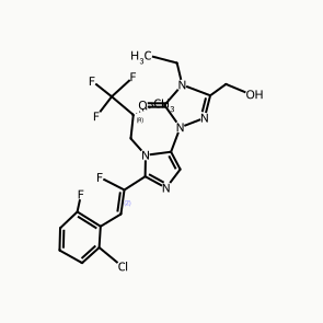 CCn1c(CO)nn(-c2cnc(/C(F)=C/c3c(F)cccc3Cl)n2C[C@@H](C)C(F)(F)F)c1=O